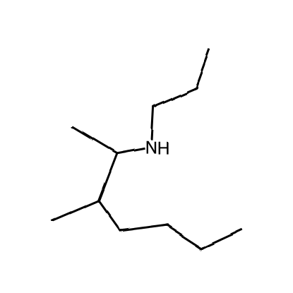 CCCCC(C)C(C)NCCC